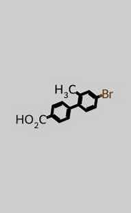 Cc1cc(Br)ccc1-c1ccc(C(=O)O)cc1